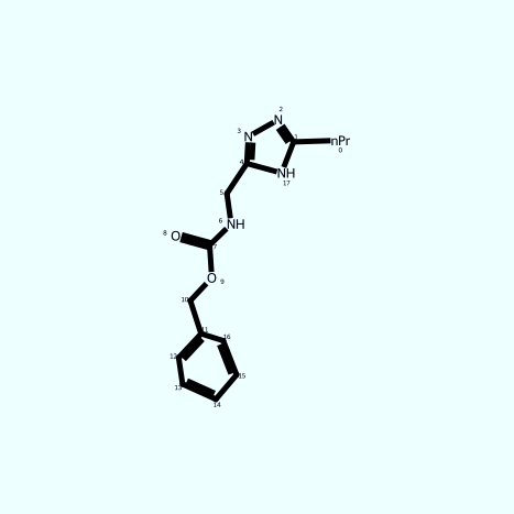 CCCc1nnc(CNC(=O)OCc2ccccc2)[nH]1